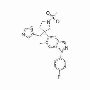 Cc1cc2c(cnn2-c2ccc(F)cc2)cc1C1(Cc2cncs2)CCN(S(C)(=O)=O)C1